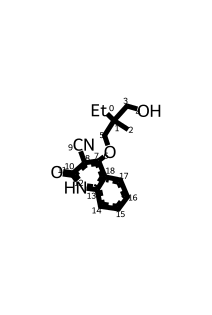 CCC(C)(CO)COc1c(C#N)c(=O)[nH]c2ccccc12